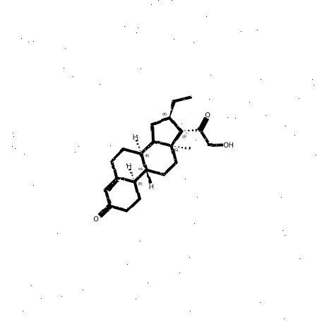 CC[C@@H]1CC2[C@@H]3CCC4=CC(=O)CC[C@@H]4[C@H]3CC[C@]2(C)[C@H]1C(=O)CO